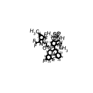 C[C@@H]1C2c3c(C(F)F)nn(CC(=O)NC(Cc4cc(F)cc(F)c4)c4nc5ccccc5cc4-c4ccc(Cl)c5c(NS(C)(=O)=O)nn(C)c45)c3C(F)(F)C21